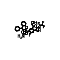 CC(C(=O)NC(F)C(F)F)c1cc(F)c(NC(=O)C(OC(N)=O)C(C2CCCCC2)C2CCCCC2)cc1CCO